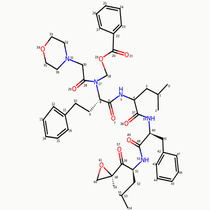 CC(C)CC(NC(=O)[C@H](CCc1ccccc1)N(COC(=O)c1ccccc1)C(=O)CN1CCOCC1)C(=O)N[C@@H](Cc1ccccc1)C(=O)N[C@@H](CC(C)C)C(=O)[C@@]1(C)CO1